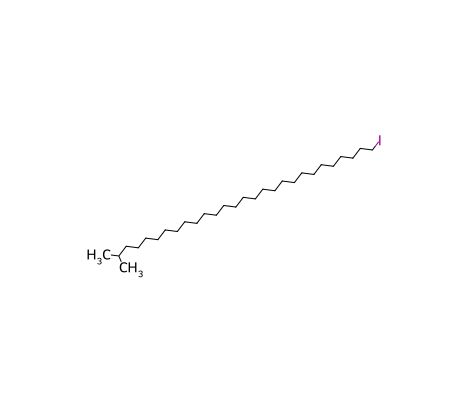 CC(C)CCCCCCCCCCCCCCCCCCCCCCCCCCI